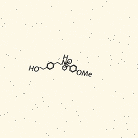 COc1ccc(S(=O)(=O)NCCc2ccc(CCO)cc2)cc1